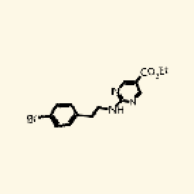 CCOC(=O)c1cnc(NCCc2ccc(Br)cc2)nc1